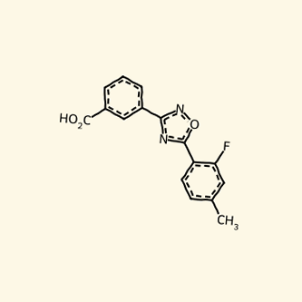 Cc1ccc(-c2nc(-c3cccc(C(=O)O)c3)no2)c(F)c1